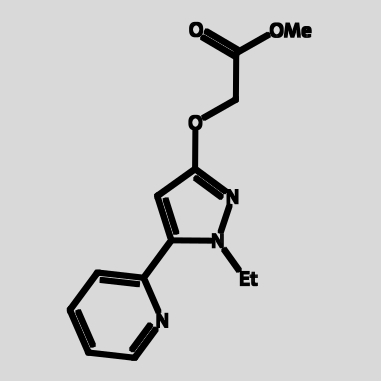 CCn1nc(OCC(=O)OC)cc1-c1ccccn1